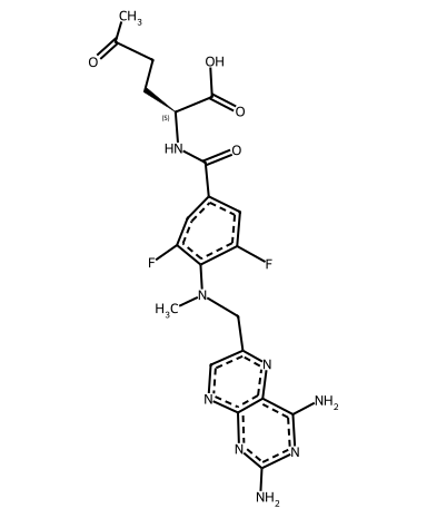 CC(=O)CC[C@H](NC(=O)c1cc(F)c(N(C)Cc2cnc3nc(N)nc(N)c3n2)c(F)c1)C(=O)O